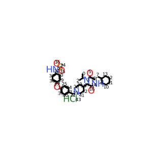 CC(C)N1C(=O)[C@H](CC2CCCCC2)NC(=O)C1C1CCN(Cc2ccc(Oc3ccc(NS(C)(=O)=O)cc3)cc2)CC1.Cl